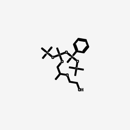 CC(CO[Si](C)(O[Si](C)(C)C)O[Si](C)(O[Si](C)(C)C)c1ccccc1)OCCO